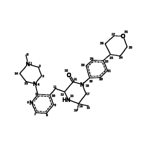 CN1CCN(c2ncccc2CC2NC(C)(C)CN(c3ccc(C4CCOCC4)cc3)C2=O)CC1